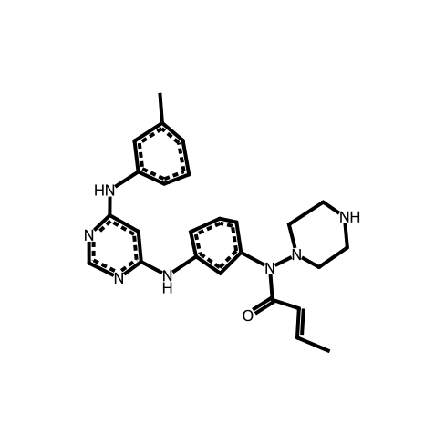 CC=CC(=O)N(c1cccc(Nc2cc(Nc3cccc(C)c3)ncn2)c1)N1CCNCC1